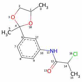 CC1COC(C)(c2cccc(NC(=O)C(C)Cl)c2)O1